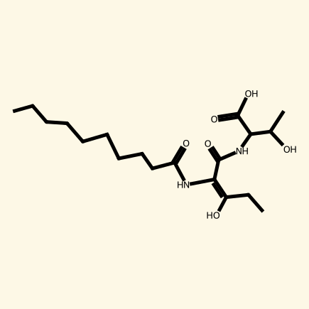 CCCCCCCCCC(=O)NC(C(=O)NC(C(=O)O)C(C)O)=C(O)CC